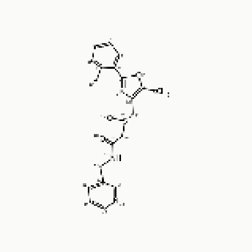 Cc1oc(-c2ccccc2F)nc1C[S+]([O-])CC(=O)NCc1cccnc1